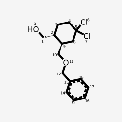 OC[C@@H]1CCC(Cl)(Cl)C[C@H]1COCc1ccccc1